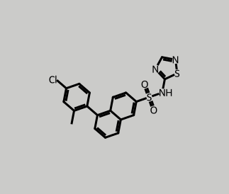 Cc1cc(Cl)ccc1-c1cccc2cc(S(=O)(=O)Nc3ncns3)ccc12